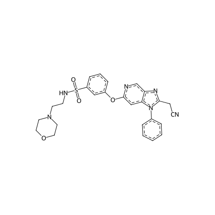 N#CCc1nc2cnc(Oc3cccc(S(=O)(=O)NCCN4CCOCC4)c3)cc2n1-c1ccccc1